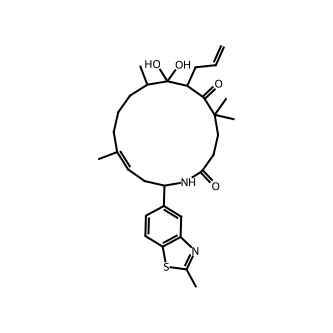 C=CCC1C(=O)C(C)(C)CCC(=O)NC(c2ccc3sc(C)nc3c2)CC=C(C)CCCC(C)C1(O)O